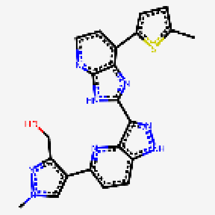 Cc1ccc(-c2ccnc3[nH]c(-c4n[nH]c5ccc(-c6cn(C)nc6CO)nc45)nc23)s1